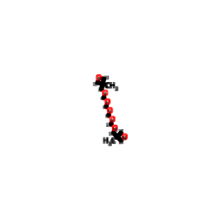 CC1(COCOCOCOCOCC2(C)COC2)COC1